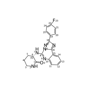 O=C1NCCC[C@@H]1Nc1nc2ccccc2c2nc(-c3ccc(F)cc3)nn12